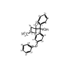 CN1CC(C)(C(O)(c2ccccc2)c2ccc(Oc3ccccc3)cc2)C1